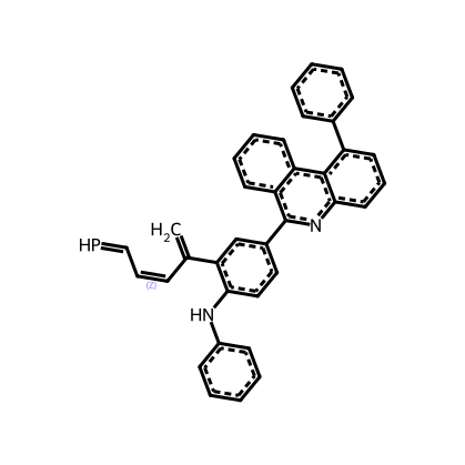 C=C(/C=C\C=P)c1cc(-c2nc3cccc(-c4ccccc4)c3c3ccccc23)ccc1Nc1ccccc1